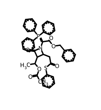 CC(=O)OC(C)C1C(=O)N(C(C(=O)OCc2ccccc2)=P(c2ccccc2)(c2ccccc2)c2ccccc2)C1CC(=O)Sc1ccccc1